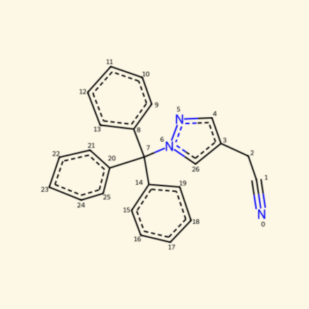 N#CCc1cnn(C(c2ccccc2)(c2ccccc2)c2ccccc2)c1